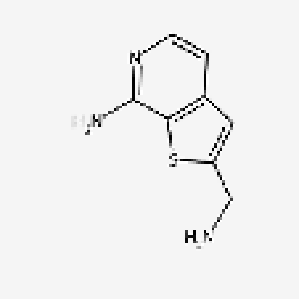 NCc1cc2ccnc(N)c2s1